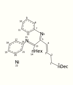 CCCCCCCCCCCCC=CC(=Nc1ccccc1)C(CCCCCC)=Nc1ccccc1.[Ni]